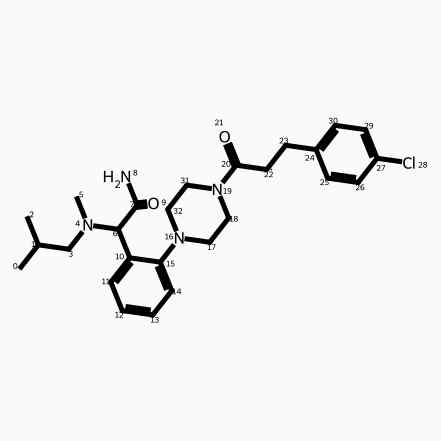 CC(C)CN(C)C(C(N)=O)c1ccccc1N1CCN(C(=O)[CH]Cc2ccc(Cl)cc2)CC1